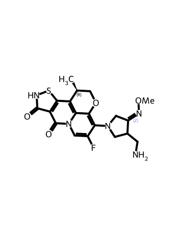 CO/N=C1\CN(c2c(F)cn3c(=O)c4c(=O)[nH]sc4c4c3c2OC[C@@H]4C)CC1CN